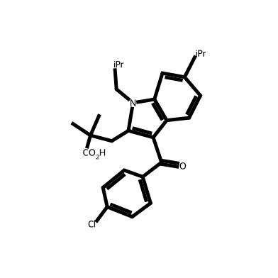 CC(C)Cn1c(CC(C)(C)C(=O)O)c(C(=O)c2ccc(Cl)cc2)c2ccc(C(C)C)cc21